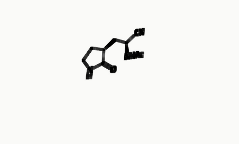 CC(=O)N[C@H](C#N)C[C@@H]1CCNC1=O